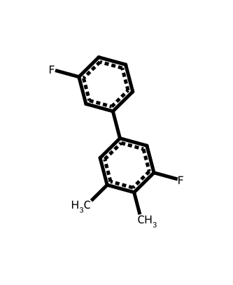 Cc1cc(-c2cccc(F)c2)cc(F)c1C